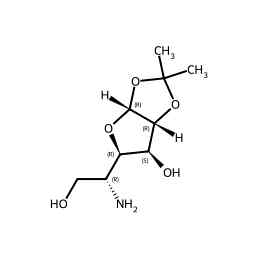 CC1(C)O[C@H]2O[C@H]([C@H](N)CO)[C@H](O)[C@H]2O1